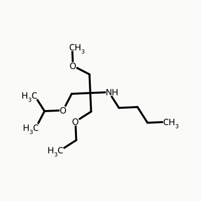 CCCCNC(COC)(COCC)COC(C)C